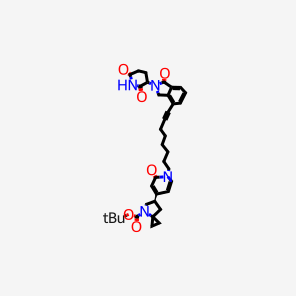 CC(C)(C)OC(=O)N1C[C@@H](c2ccn(CCCCCCC#Cc3cccc4c3CN(C3CCC(=O)NC3=O)C4=O)c(=O)c2)CC12CC2